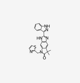 CC1(C)C(=O)N(Cc2nccs2)c2cc3[nH]c(-c4n[nH]c5ccccc45)nc3cc21